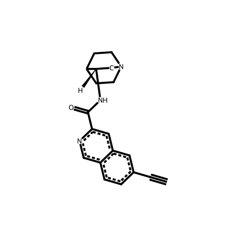 C#Cc1ccc2cnc(C(=O)N[C@H]3CN4CCC3CC4)cc2c1